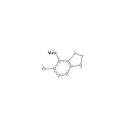 CNc1c(Cl)ccc2c1CCO2